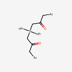 CC[CH2][Ti]([CH2]CC)([CH2]C(=O)CC(C)=O)[CH2]C(=O)CC(C)=O